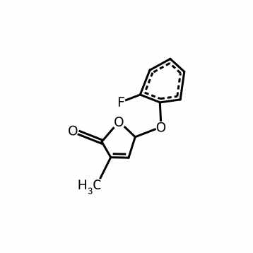 CC1=CC(Oc2ccccc2F)OC1=O